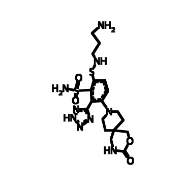 NCCCNSc1ccc(N2CCC3(CC2)CNC(=O)OC3)c(-c2nn[nH]n2)c1S(N)(=O)=O